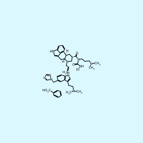 C=CCN1C[C@H](C(=O)N(CCCN(C)C)C(=O)NCC)C[C@@H]2c3cccc4[nH]cc(c34)C[C@H]21.CN(C)CCc1c[nH]c2ccc(Cn3cncn3)cc12.O=C(O)c1ccccc1